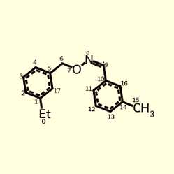 CCc1cccc(CO/N=[C]\c2cccc(C)c2)c1